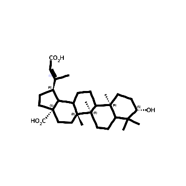 C/C(=C\C(=O)O)[C@@H]1CC[C@]2(C(=O)O)CC[C@]3(C)C(CCC4[C@@]5(C)CC[C@H](O)C(C)(C)C5CC[C@]43C)C12